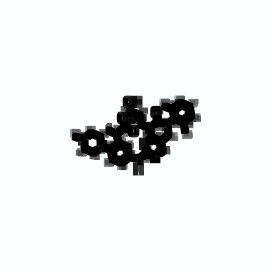 COC(=O)C(C)c1cc(Nc2ncc3c(n2)N(CCCO)C(=O)N(c2c(C)cccc2C)C3)ccc1N1CCN(C)CC1